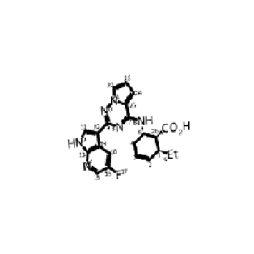 CC[C@H]1C=CC[C@H](Nc2nc(-c3c[nH]c4ncc(F)cc34)nn3cccc23)[C@H]1C(=O)O